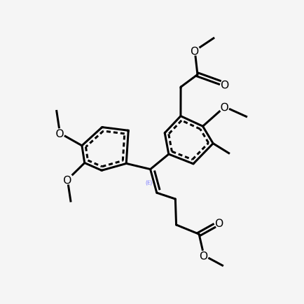 COC(=O)CC/C=C(\c1cc(C)c(OC)c(CC(=O)OC)c1)c1ccc(OC)c(OC)c1